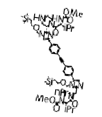 CCCN(Cc1ncc(-c2ccc(C#Cc3ccc(-c4cn(COCC[Si](C)(C)C)c([C@@H]5CNCCN5C(=O)[C@@H](NC(=O)OC)C(C)C)n4)cc3)cc2)n1COCC[Si](C)(C)C)C(=O)[C@@H](NC(=O)OC)C(C)C